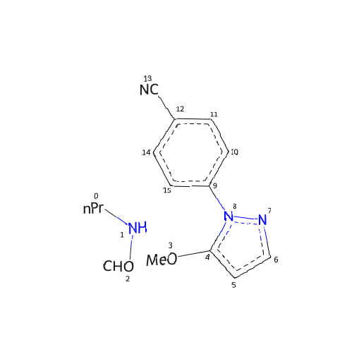 CCCNC=O.COc1ccnn1-c1ccc(C#N)cc1